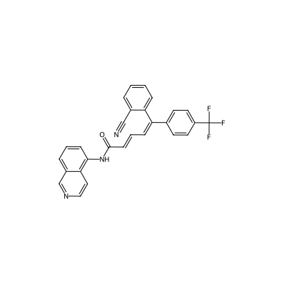 N#Cc1ccccc1/C(=C\C=C\C(=O)Nc1cccc2cnccc12)c1ccc(C(F)(F)F)cc1